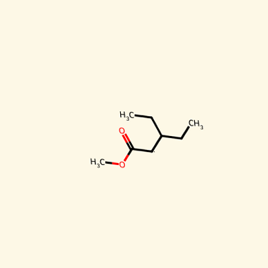 CCC([CH]C(=O)OC)CC